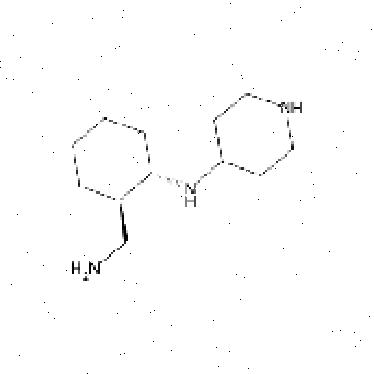 NC[C@H]1CCCC[C@@H]1NC1CCNCC1